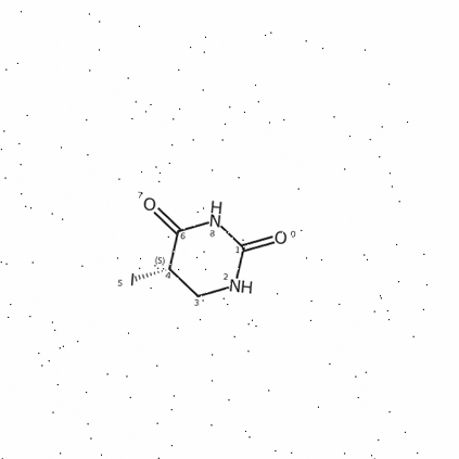 O=C1NC[C@H](I)C(=O)N1